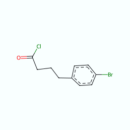 O=C(Cl)CCCc1ccc(Br)cc1